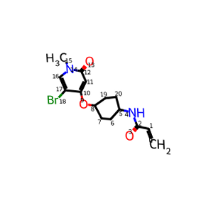 C=CC(=O)NC1CCC(Oc2cc(=O)n(C)cc2Br)CC1